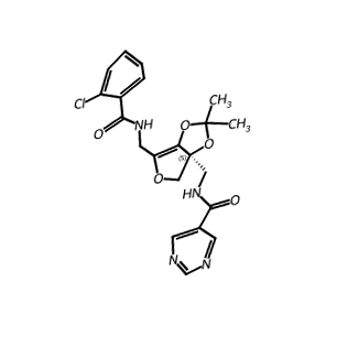 CC1(C)OC2=C(CNC(=O)c3ccccc3Cl)OC[C@]2(CNC(=O)c2cncnc2)O1